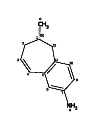 C[C@H]1CC=Cc2cc(N)ccc2C1